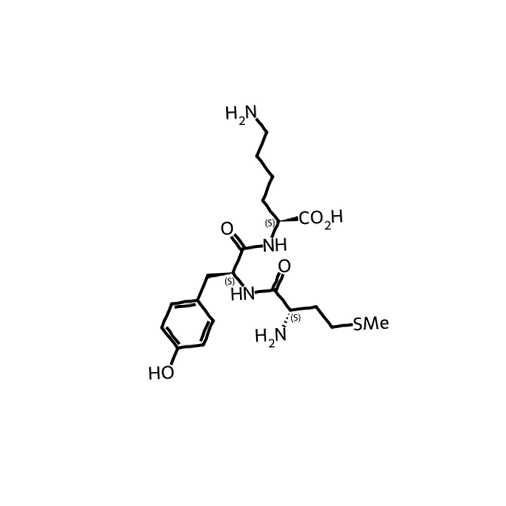 CSCC[C@H](N)C(=O)N[C@@H](Cc1ccc(O)cc1)C(=O)N[C@@H](CCCCN)C(=O)O